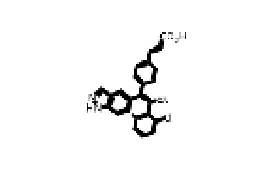 CCC(=C(c1ccc(C=CC(=O)O)cc1)c1ccc2[nH]ncc2c1)c1c(C)cccc1Cl